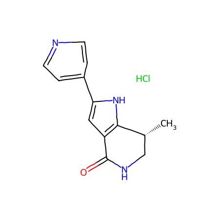 C[C@@H]1CNC(=O)c2cc(-c3ccncc3)[nH]c21.Cl